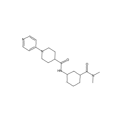 CN(C)C(=O)C1CC[CH]C(NC(=O)C2CCN(c3ccncc3)CC2)C1